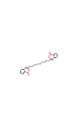 O=c1oc(CCCCCCCCCCc2nc3ccccc3c(=O)o2)nc2ccccc12